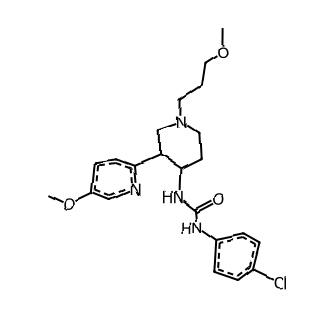 COCCCN1CCC(NC(=O)Nc2ccc(Cl)cc2)C(c2ccc(OC)cn2)C1